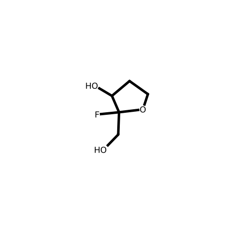 OCC1(F)OCCC1O